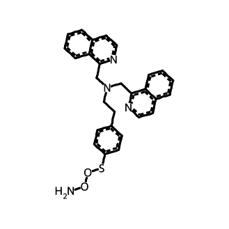 NOOSc1ccc(CCN(Cc2nccc3ccccc23)Cc2nccc3ccccc23)cc1